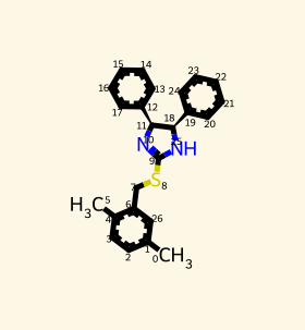 Cc1ccc(C)c(CSC2=N[C@@H](c3ccccc3)[C@@H](c3ccccc3)N2)c1